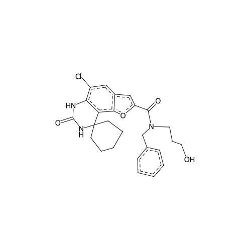 O=C1Nc2c(Cl)cc3cc(C(=O)N(CCCO)Cc4ccccc4)oc3c2C2(CCCCC2)N1